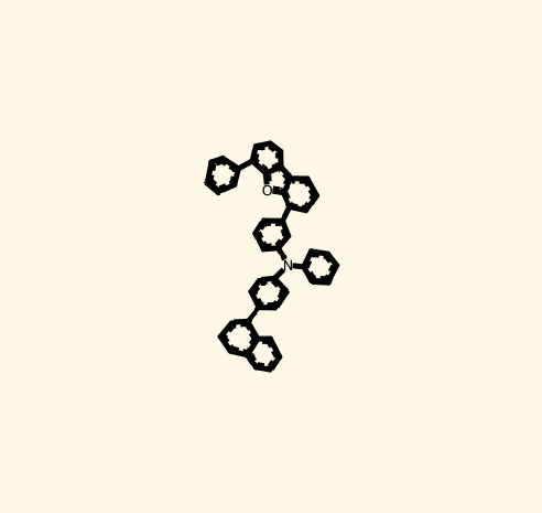 c1ccc(-c2cccc3c2oc2c(-c4cccc(N(c5ccccc5)c5ccc(-c6cccc7ccccc67)cc5)c4)cccc23)cc1